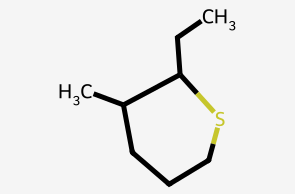 CCC1SCCCC1C